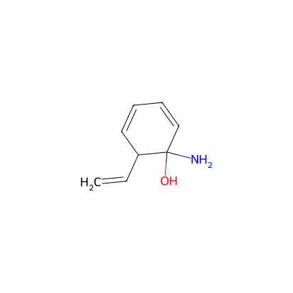 C=CC1C=CC=CC1(N)O